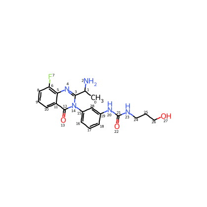 CC(N)c1nc2c(F)cccc2c(=O)n1-c1cccc(NC(=O)NCCCO)c1